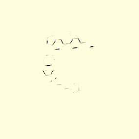 CCc1cc(OC=O)ccc1-c1cc2[nH]ncc2c(N2CCc3ccc(S(=O)(=O)NCCN4CCCC4)cc3C2)n1